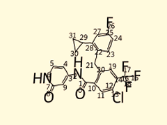 O=C(Nc1cc[nH]c(=O)c1)c1cc(Cl)c(C(F)(F)F)cc1Cc1ccc(F)cc1C1CC1